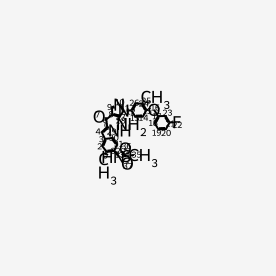 Cc1cc2cc(C(=O)c3cnn(-c4ccc(Oc5cccc(F)c5)c(C)c4)c3N)[nH]c2cc1NS(C)(=O)=O